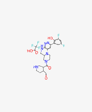 O=C(O)C(F)(F)F.O=CC1CCNCC1C(=O)N1CCN2c3cc(-c4cc(F)cc(F)c4O)nnc3NCC2C1